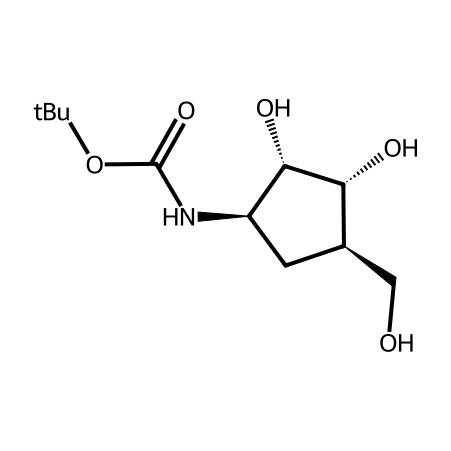 CC(C)(C)OC(=O)N[C@@H]1C[C@H](CO)[C@@H](O)[C@H]1O